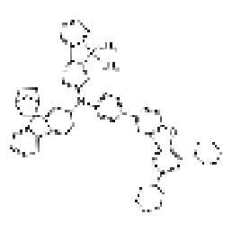 CC1(C)c2ccccc2-c2ccc(N(c3ccc(-c4ccc5oc6c(C7CCCCC7)cc(C7CCCCC7)cc6c5c4)cc3)c3ccc4c(c3)C3(CC5CCC3C5)c3ccccc3-4)cc21